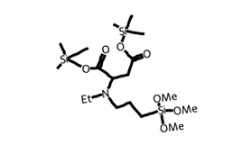 CCN(CCC[Si](OC)(OC)OC)C(CC(=O)O[Si](C)(C)C)C(=O)O[Si](C)(C)C